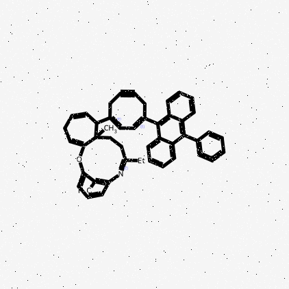 CC/C1=N/c2cccc(c2C)OC2=CCC=CC(/C3=C/C=C(/c4c5ccccc5c(C5=C=C=CC=C5)c5ccccc45)CC#CC3)C2(C)CC1